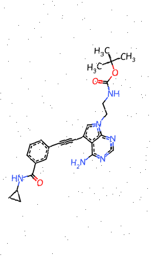 CC(C)(C)OC(=O)NCCn1cc(C#Cc2cccc(C(=O)NC3CC3)c2)c2c(N)ncnc21